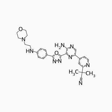 CC(C)(C#N)c1cc(-c2cnc(N)c(-c3nnc(-c4ccc(NCCN5CCOCC5)cc4)o3)n2)ccn1